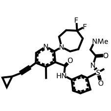 CNCC(=O)N=S(C)(=O)c1cccc(NC(=O)c2c(N3CCCC(F)(F)CC3)ncc(C#CC3CC3)c2C)c1